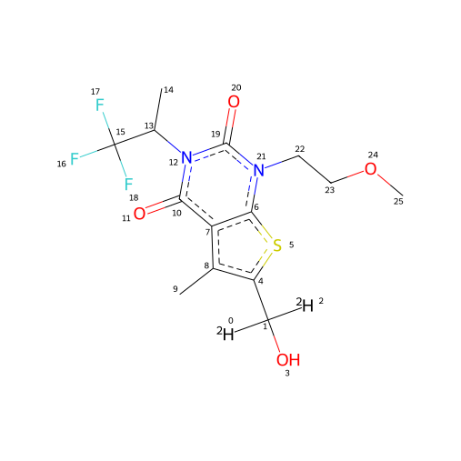 [2H]C([2H])(O)c1sc2c(c1C)c(=O)n(C(C)C(F)(F)F)c(=O)n2CCOC